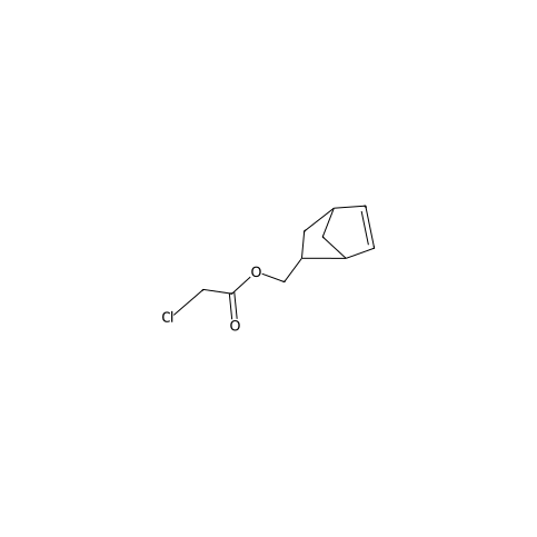 O=C(CCl)OCC1CC2C=CC1C2